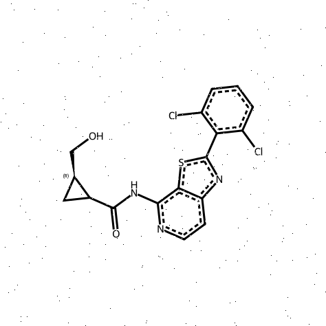 O=C(Nc1nccc2nc(-c3c(Cl)cccc3Cl)sc12)C1C[C@H]1CO